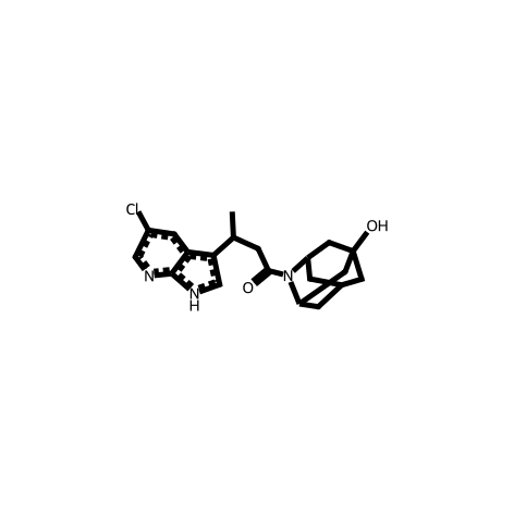 CC(CC(=O)N1C2CC3CC1CC(O)(C3)C2)c1c[nH]c2ncc(Cl)cc12